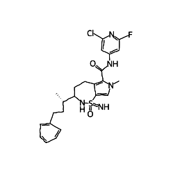 C[C@@H](CCc1ccccc1)C1CCc2c(cn(C)c2C(=O)Nc2cc(F)nc(Cl)c2)S(=N)(=O)N1